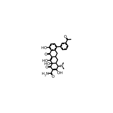 CC(=O)c1cccc(-c2ccc(O)c3c2CC2CC4C(N(C)C)C(O)=C(C(N)=O)C(=O)C4(O)C(O)=C2C3=O)c1